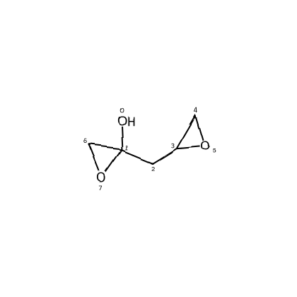 OC1(CC2CO2)CO1